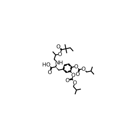 CCC(C)(C)C(=O)OC(C)CN[C@@H](Cc1ccc(OC(=O)OCC(C)C)c(OC(=O)OCC(C)C)c1)C(=O)O